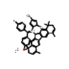 CCC1C=C(C(C)(C)C)C=[C]1[Zr+2](=[C](c1ccc(F)cc1)c1ccc(F)cc1)[CH]1c2cc3c(cc2-c2cc4c(cc21)C(C)(C)CC=C4C)C(C)=CCC3(C)C.[Cl-].[Cl-]